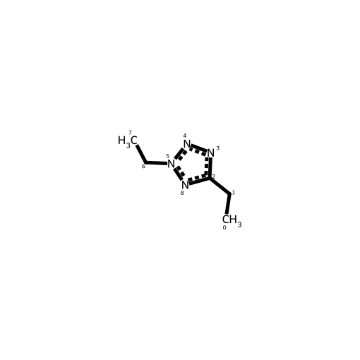 CCc1nnn(CC)n1